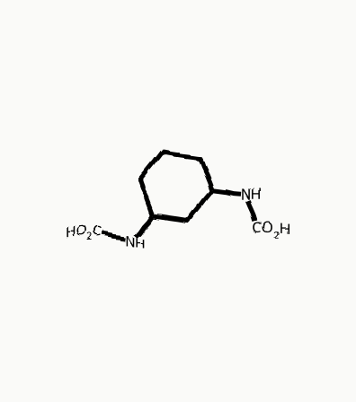 O=C(O)NC1CCCC(NC(=O)O)C1